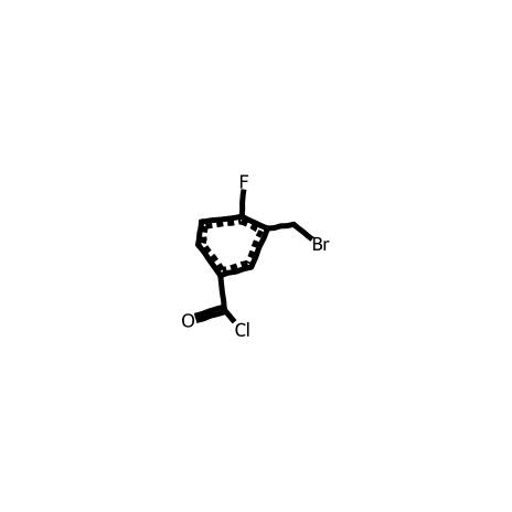 O=C(Cl)c1ccc(F)c(CBr)c1